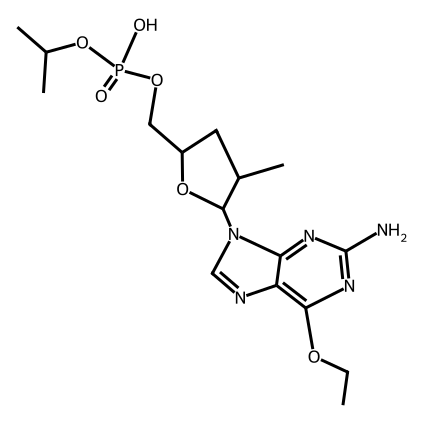 CCOc1nc(N)nc2c1ncn2C1OC(COP(=O)(O)OC(C)C)CC1C